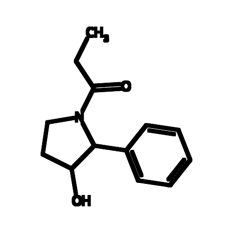 CCC(=O)N1CCC(O)C1c1ccccc1